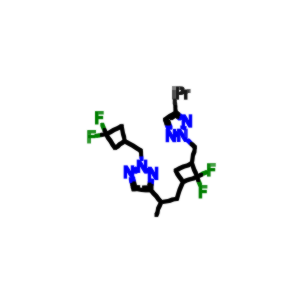 CC(C)c1cnn(CC2CC(CC(C)c3cnn(CC4CC(F)(F)C4)n3)C2(F)F)n1